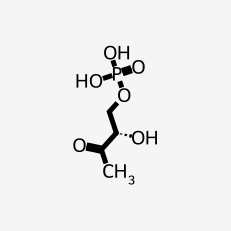 CC(=O)[C@@H](O)COP(=O)(O)O